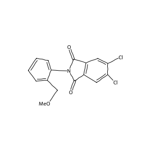 [CH2]OCc1ccccc1N1C(=O)c2cc(Cl)c(Cl)cc2C1=O